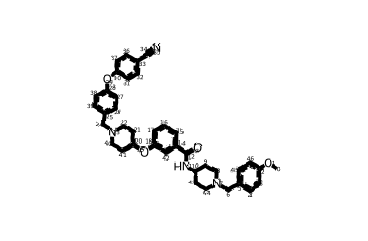 COc1ccc(CN2CCC(NC(=O)c3cccc(OC4CCN(Cc5ccc(Oc6ccc(C#N)cc6)cc5)CC4)c3)CC2)cc1